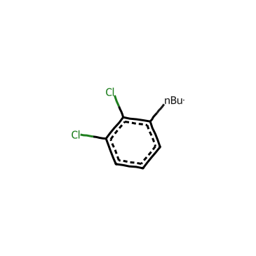 CCC[CH]c1cccc(Cl)c1Cl